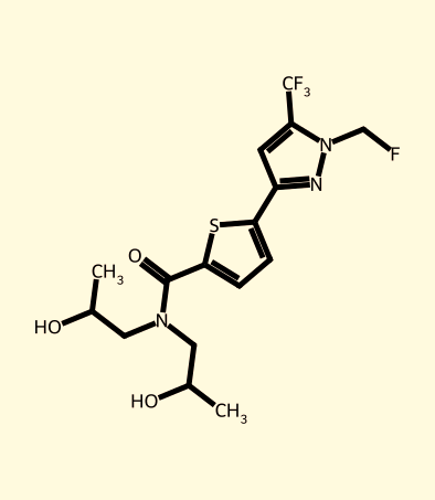 CC(O)CN(CC(C)O)C(=O)c1ccc(-c2cc(C(F)(F)F)n(CF)n2)s1